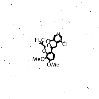 C=CCOc1c(C(=O)Cc2c(Cl)cncc2Cl)ccc(OC)c1OC